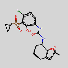 Cc1cc2c(o1)C(NC(=O)Nc1ccc(Cl)c(S(=O)(=O)C3CC3)c1O)CCC2